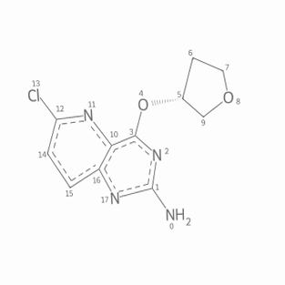 Nc1nc(O[C@@H]2CCOC2)c2nc(Cl)ccc2n1